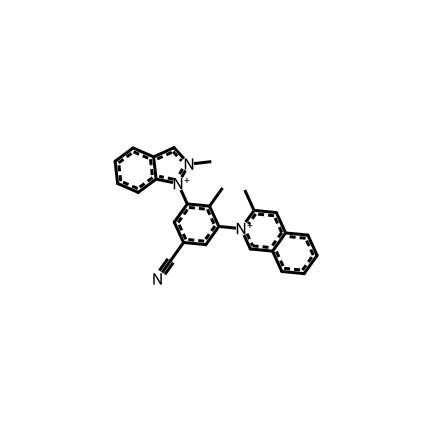 Cc1c(-[n+]2cc3ccccc3cc2C)cc(C#N)cc1-[n+]1c2ccccc2cn1C